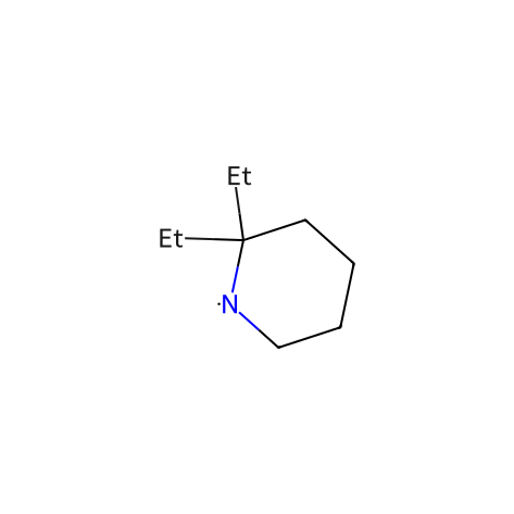 CCC1(CC)CCCC[N]1